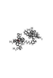 Cc1ncsc1-c1ccc([C@H](C)NC(=O)[C@@H]2C[C@@H](O)CN2C(=O)[C@@H](NC(=O)CCCCCc2ccc(F)c(OC[C@H](CCC(N)=O)NC(=O)[C@@H]3Cc4cccc5c4N3C(=O)[C@@H](NC(=O)OC(C)(C)C)CC5)c2)C(C)(C)C)cc1